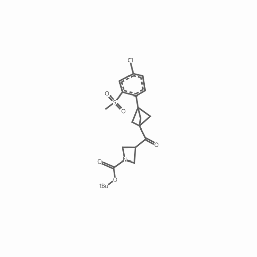 CC(C)(C)OC(=O)N1CC(C(=O)C23CC(c4ccc(Cl)cc4S(C)(=O)=O)(C2)C3)C1